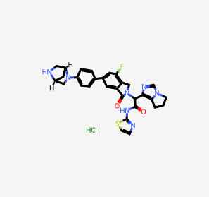 Cl.O=C(Nc1nccs1)C(c1ncn2c1CCC2)N1Cc2c(F)cc(-c3ccc(N4C[C@H]5C[C@@H]4CN5)cc3)cc2C1=O